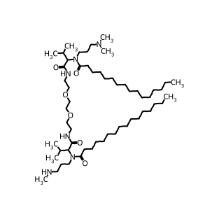 CCCCCCCCCCCCCCCC(=O)N(CCCNC)C(C(=O)NCCOCCOCCNC(=O)C(C(C)C)N(CCCN(C)C)C(=O)CCCCCCCCCCCCCCC)C(C)C